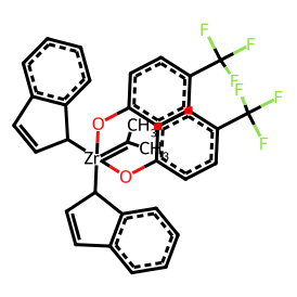 C[C](C)=[Zr]([O]c1ccc(C(F)(F)F)cc1)([O]c1ccc(C(F)(F)F)cc1)([CH]1C=Cc2ccccc21)[CH]1C=Cc2ccccc21